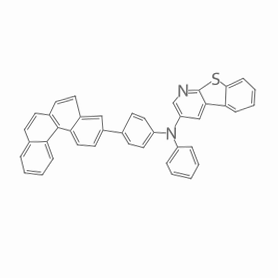 c1ccc(N(c2ccc(-c3ccc4c(ccc5ccc6ccccc6c54)c3)cc2)c2cnc3sc4ccccc4c3c2)cc1